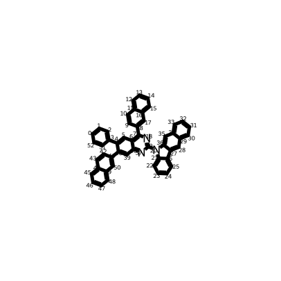 c1ccc(-c2cc3c(-c4ccc5ccccc5c4)nc(-n4c5ccccc5c5cc6ccccc6cc54)nc3cc2-c2ccc3ccccc3c2)cc1